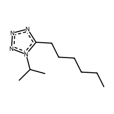 CCCCCCc1nnnn1C(C)C